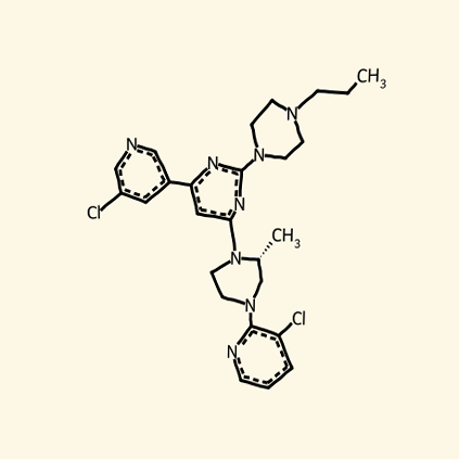 CCCN1CCN(c2nc(-c3cncc(Cl)c3)cc(N3CCN(c4ncccc4Cl)C[C@H]3C)n2)CC1